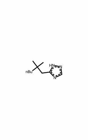 CCCCC(C)(C)Cc1ncn[nH]1